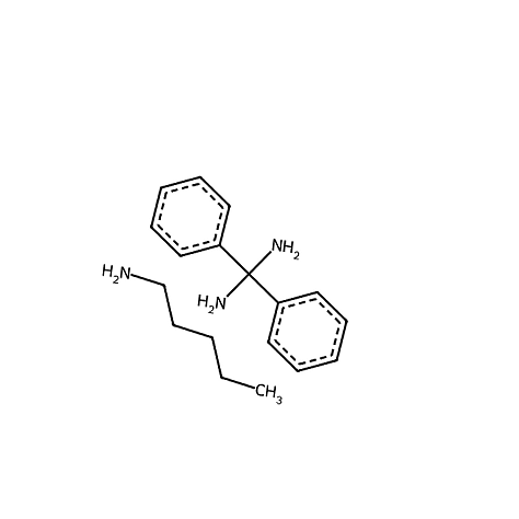 CCCCCN.NC(N)(c1ccccc1)c1ccccc1